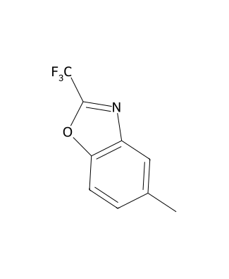 Cc1ccc2oc(C(F)(F)F)nc2c1